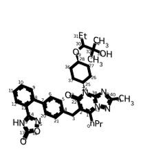 CCCc1c(Cc2ccc(-c3ccccc3-c3noc(=O)[nH]3)cc2)c(=O)n([C@H]2CC[C@H](OC(CC)C(C)(C)O)CC2)c2nc(C)nn12